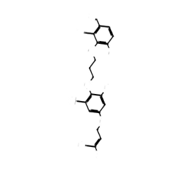 ClC(Cl)=CCOc1cc(Cl)c(OCCCOc2c(Cl)ccc(Cl)c2Cl)c(Cl)c1